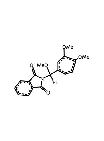 CCC(OC)(c1ccc(OC)c(OC)c1)N1C(=O)c2ccccc2C1=O